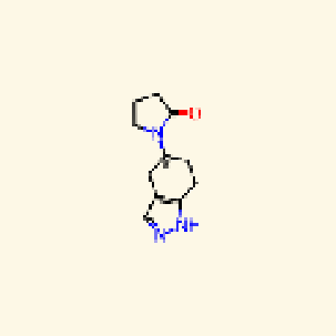 O=C1CCCN1[C@H]1CCc2[nH]ncc2C1